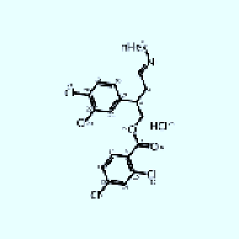 CCCCCCN=CCC(COC(=O)c1ccc(Cl)cc1Cl)c1ccc(Cl)c(Cl)c1.Cl